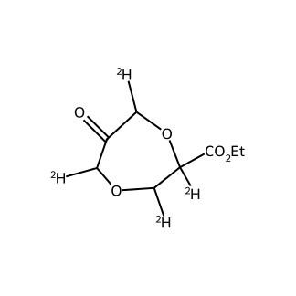 [2H]C1OC([2H])C([2H])(C(=O)OCC)OC([2H])C1=O